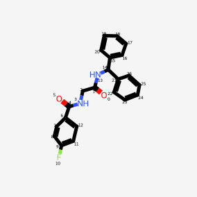 O=C(CNC(=O)c1ccc(F)cc1)NC(c1ccccc1)c1ccccc1